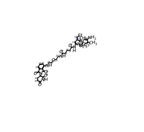 C=C(C)/C(N)=C\N(C)C1(C)/C(=C\CC)C=C(NC(=O)CCCC(=O)NCCOCCNc2cccc3c2C(=O)N(C2CCC(=O)NC2=O)C3=O)N1C